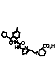 Cc1ccc(NC(=O)Nc2nc(CCN3CCC[C@H](C(=O)O)C3)cs2)c(C(=O)C2CCCC2)c1